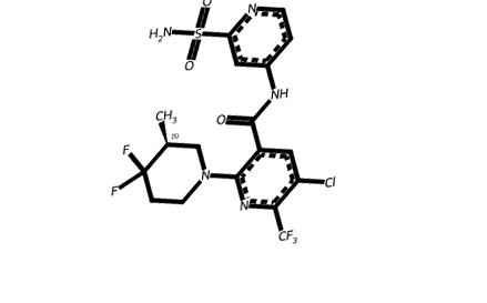 C[C@H]1CN(c2nc(C(F)(F)F)c(Cl)cc2C(=O)Nc2ccnc(S(N)(=O)=O)c2)CCC1(F)F